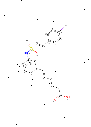 O=C(O)CCCC=CC1CC2CCC1C(NS(=O)(=O)C=Cc1ccc(I)cc1)C2